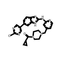 O=C(C1CC1)N1CCN(Cc2ccnc(Nc3nc4ccc(-c5cnc(Cl)nc5)cc4[nH]3)c2)CC1